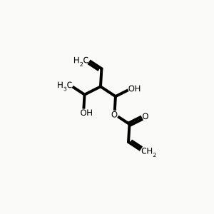 C=CC(=O)OC(O)C(C=C)C(C)O